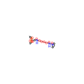 Cc1ccc(S(=O)(=O)CC(CS(=O)(=O)c2ccc(C)cc2)C(=O)c2ccc(C(=O)NCCOCCOCCOCCOCCC(=O)NCCC(=O)N3Cc4ccccc4C#Cc4ccccc43)cc2)cc1